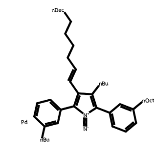 CCCCCCCCCCCCCCC=CC1=C(c2cccc(CCCC)c2)[N+](=[N-])C(c2cccc(CCCCCCCC)c2)=C1CCCC.[Pd]